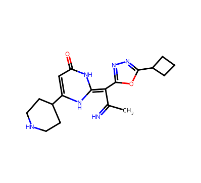 CC(=N)/C(=C1/NC(=O)C=C(C2CCNCC2)N1)c1nnc(C2CCC2)o1